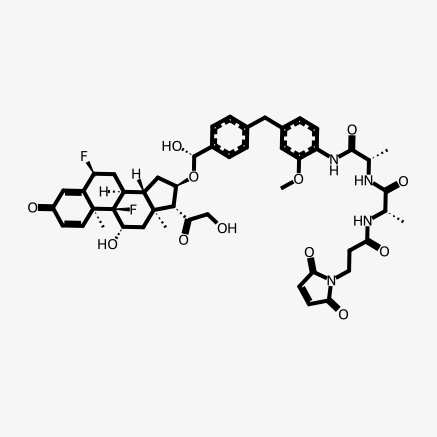 COc1cc(Cc2ccc([C@@H](O)O[C@@H]3C[C@H]4[C@@H]5C[C@H](F)C6=CC(=O)C=C[C@]6(C)[C@@]5(F)[C@@H](O)C[C@]4(C)[C@H]3C(=O)CO)cc2)ccc1NC(=O)[C@H](C)NC(=O)[C@H](C)NC(=O)CCN1C(=O)C=CC1=O